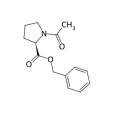 CC(=O)N1CCC[C@@H]1C(=O)OCc1ccccc1